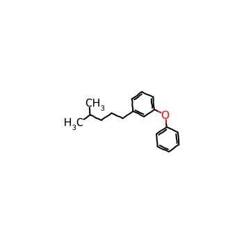 CC(C)CCCc1cccc(Oc2ccccc2)c1